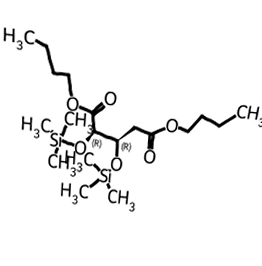 CCCCOC(=O)C[C@@H](O[Si](C)(C)C)[C@@H](O[Si](C)(C)C)C(=O)OCCCC